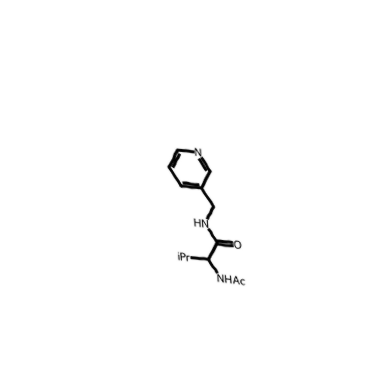 CC(=O)NC(C(=O)NCc1cccnc1)C(C)C